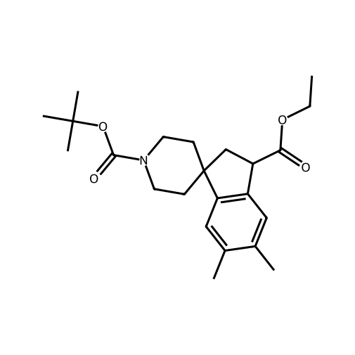 CCOC(=O)C1CC2(CCN(C(=O)OC(C)(C)C)CC2)c2cc(C)c(C)cc21